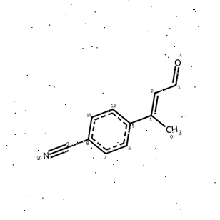 CC(=CC=O)c1ccc(C#N)cc1